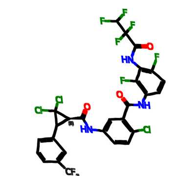 O=C(Nc1ccc(F)c(NC(=O)C(F)(F)C(F)F)c1F)c1cc(NC(=O)[C@H]2C(c3cccc(C(F)(F)F)c3)C2(Cl)Cl)ccc1Cl